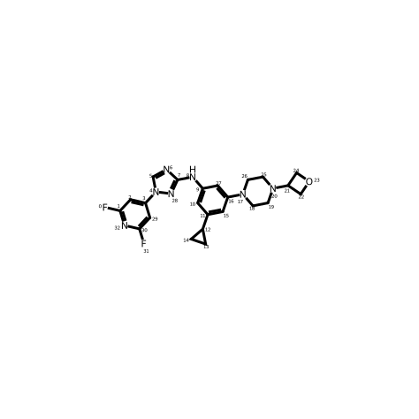 Fc1cc(-n2cnc(Nc3cc(C4CC4)cc(N4CCN(C5COC5)CC4)c3)n2)cc(F)n1